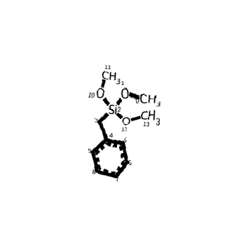 CO[Si](Cc1ccccc1)(OC)OC